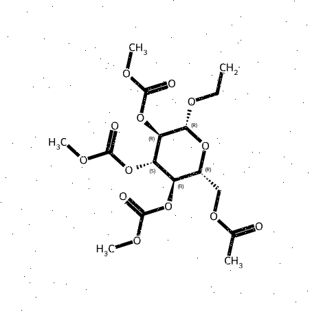 [CH2]CO[C@@H]1O[C@H](COC(C)=O)[C@@H](OC(=O)OC)[C@H](OC(=O)OC)[C@H]1OC(=O)OC